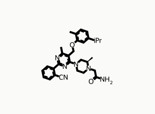 Cc1ccc(C(C)C)cc1OCc1c(C)nc(-c2ccccc2C#N)nc1N1CCN(CC(N)=O)[C@H](C)C1